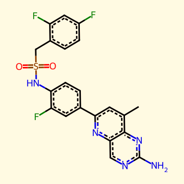 Cc1cc(-c2ccc(NS(=O)(=O)Cc3ccc(F)cc3F)c(F)c2)nc2cnc(N)nc12